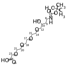 CC(C)(C)OC(=O)NCCC(O)COCCOCCOCCOCC(=O)O